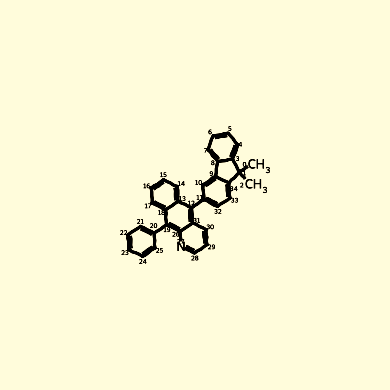 CC1(C)c2ccccc2-c2cc(-c3c4ccccc4c(-c4ccccc4)c4ncccc34)ccc21